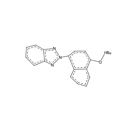 CCCCOc1ccc(-n2nc3ccccc3n2)c2ccccc12